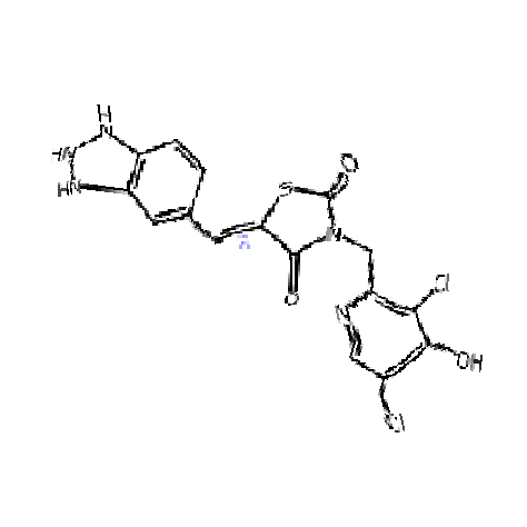 O=C1S/C(=C\c2ccc3c(c2)NNN3)C(=O)N1Cc1ncc(Cl)c(O)c1Cl